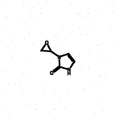 O=c1[nH]ccn1C1CO1